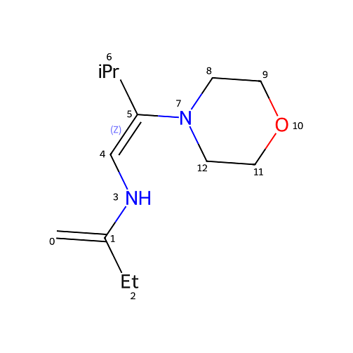 C=C(CC)N/C=C(/C(C)C)N1CCOCC1